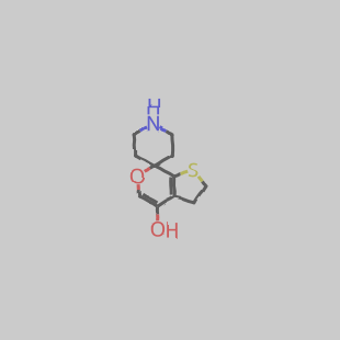 OC1=COC2(CCNCC2)C2=C1CCS2